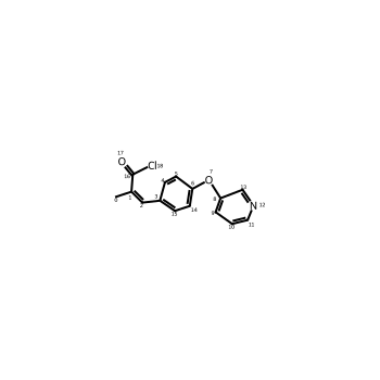 CC(=Cc1ccc(Oc2cccnc2)cc1)C(=O)Cl